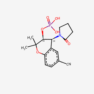 CC1(C)Oc2ccc(C#N)cc2[C@H](N2CCCC2=O)[C@@H]1OP(=O)(O)O